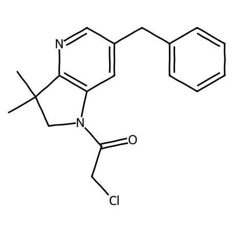 CC1(C)CN(C(=O)CCl)c2cc(Cc3ccccc3)cnc21